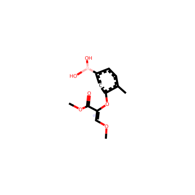 CO/C=C(\Oc1cc(B(O)O)ccc1C)C(=O)OC